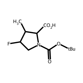 CC1C(F)CN(C(=O)OC(C)(C)C)C1C(=O)O